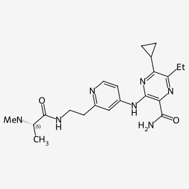 CCc1nc(C(N)=O)c(Nc2ccnc(CCNC(=O)[C@H](C)NC)c2)nc1C1CC1